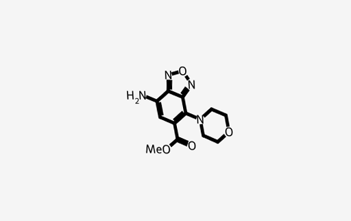 COC(=O)c1cc(N)c2nonc2c1N1CCOCC1